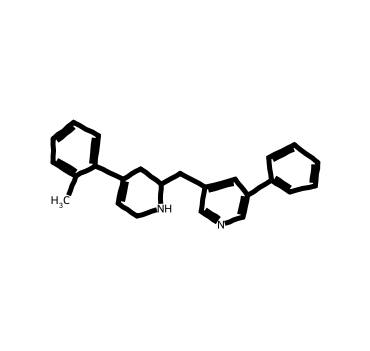 Cc1ccccc1C1=CCNC(Cc2cncc(-c3ccccc3)c2)C1